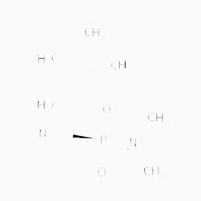 CC(O[P@](=O)(C#N)N(C)C)C(C)(C)C